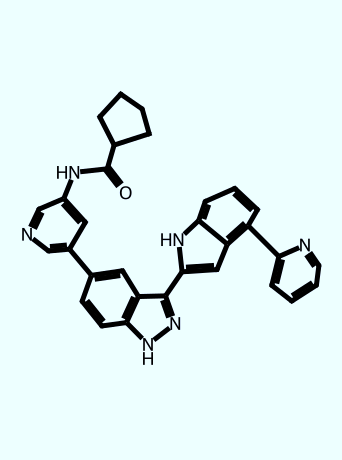 O=C(Nc1cncc(-c2ccc3[nH]nc(-c4cc5c(-c6ccccn6)cccc5[nH]4)c3c2)c1)C1CCCC1